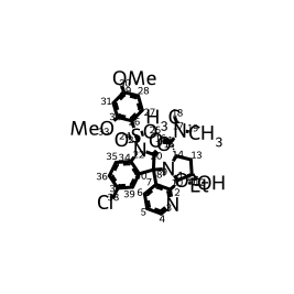 CCOc1ncccc1C1(N2C[C@H](O)C[C@H]2C(=O)N(C)C)C(=O)N(S(=O)(=O)c2ccc(OC)cc2OC)c2ccc(Cl)cc21